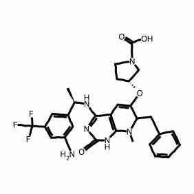 C[C@@H](Nc1nc(=O)[nH]c2c1C=C(O[C@@H]1CCN(C(=O)O)C1)C(Cc1ccccc1)N2C)c1cc(N)cc(C(F)(F)F)c1